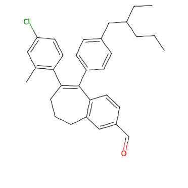 CCCC(CC)Cc1ccc(C2=C(c3ccc(Cl)cc3C)CCCc3cc(C=O)ccc32)cc1